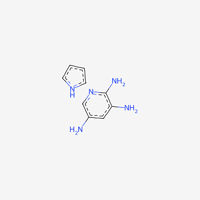 Nc1cnc(N)c(N)c1.c1cc[nH]c1